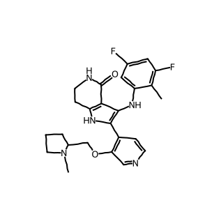 Cc1c(F)cc(F)cc1Nc1c(-c2ccncc2OCC2CCCN2C)[nH]c2c1C(=O)NCC2